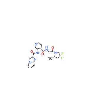 N#CC1CC(F)(F)CN1C(=O)CNC(=O)c1ccncc1NC(=O)c1cn2ccccc2n1